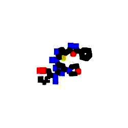 C[C@@H](CO)Nc1nc(Nc2ncc(-c3nnc(-c4ccccc4)o3)s2)cc(N2CCOCC2)n1